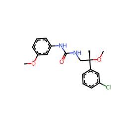 COc1cccc(NC(=O)NC[C@](C)(OC)c2cccc(Cl)c2)c1